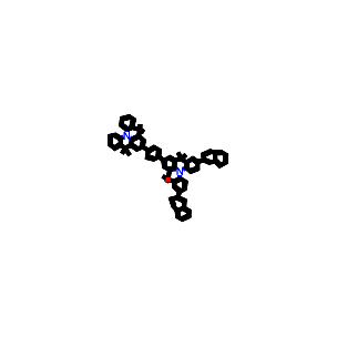 CC1(C)c2ccccc2N2c3ccccc3C(C)(C)c3cc(-c4ccc(-c5cc6c7c(c5)C(C)(C)c5cc(-c8ccc9ccccc9c8)ccc5N7c5ccc(-c7ccc8ccccc8c7)cc5C6(C)C)cc4)cc1c32